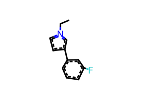 CCn1ccc(-c2cccc(F)c2)c1